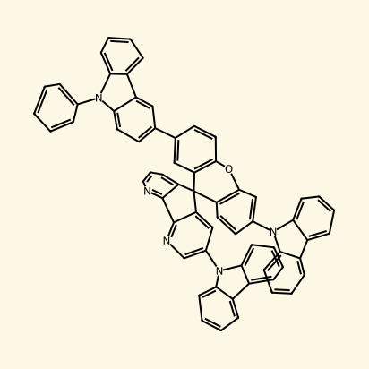 c1ccc(-n2c3ccccc3c3cc(-c4ccc5c(c4)C4(c6ccc(-n7c8ccccc8c8ccccc87)cc6O5)c5cccnc5-c5ncc(-n6c7ccccc7c7ccccc76)cc54)ccc32)cc1